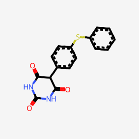 O=C1NC(=O)C(c2ccc(Sc3ccccc3)cc2)C(=O)N1